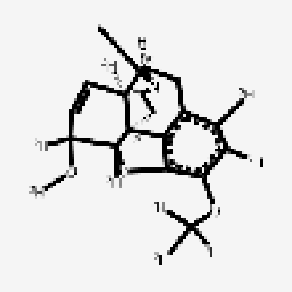 [2H]OC1([2H])C=C[C@@]2([2H])[C@H]3Cc4c([2H])c([2H])c(OC([2H])([2H])[2H])c5c4[C@@]2(CCN3C)C1([2H])O5